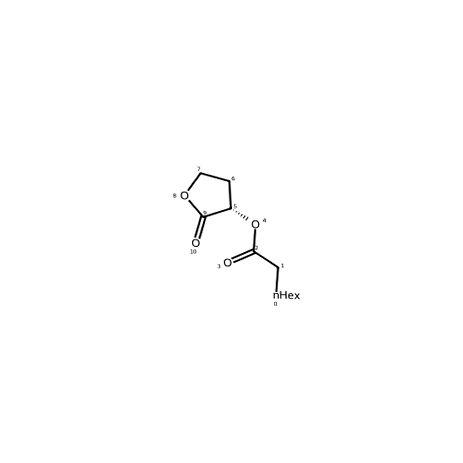 CCCCCCCC(=O)O[C@H]1CCOC1=O